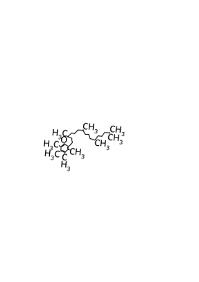 Cc1c(C)c(C)c2c(c1C)CC[C@@](C)(CCC[C@@H](C)CCCC(C)CCCC(C)C)O2